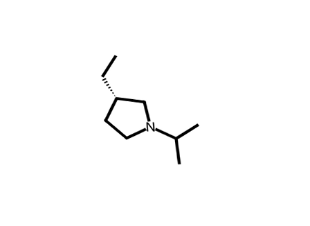 CC[C@H]1CCN(C(C)C)C1